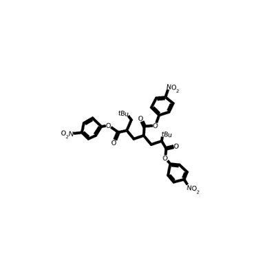 CC(C)(C)CC(CC(CC(C(=O)Oc1ccc([N+](=O)[O-])cc1)C(C)(C)C)C(=O)Oc1ccc([N+](=O)[O-])cc1)C(=O)Oc1ccc([N+](=O)[O-])cc1